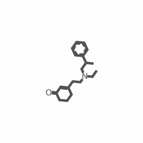 CCN(CCC1=CC(=O)CCC1)CC(C)c1ccccc1